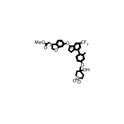 COC(=O)C[C@@H]1COc2cc(O[C@@H]3CCc4c(-c5ccc(OCC6(O)CCS(=O)(=O)CC6)cc5C)cc(C(F)(F)F)cc43)ccc21